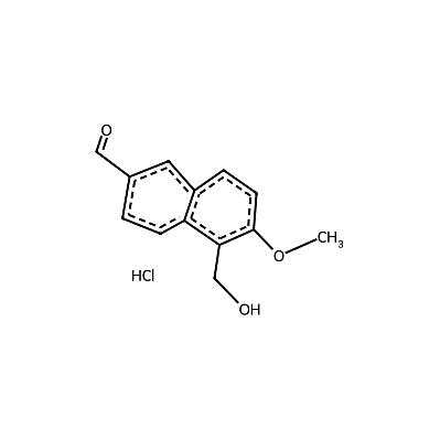 COc1ccc2cc(C=O)ccc2c1CO.Cl